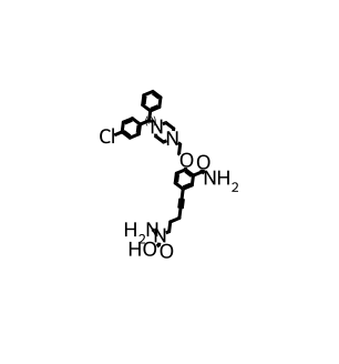 NC(=O)c1cc(C#CCCCN(N)C(=O)O)ccc1OCCN1CCN([C@H](c2ccccc2)c2ccc(Cl)cc2)CC1